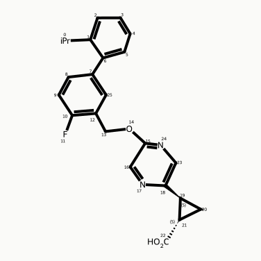 CC(C)c1ccccc1-c1ccc(F)c(COc2cnc([C@H]3C[C@@H]3C(=O)O)cn2)c1